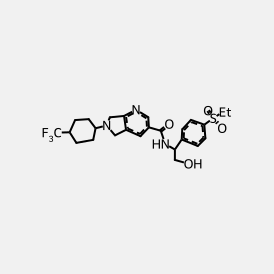 CCS(=O)(=O)c1ccc(C(CO)NC(=O)c2cnc3c(c2)CN(C2CCC(C(F)(F)F)CC2)C3)cc1